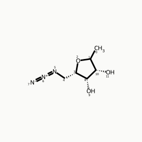 CC1O[C@@H](CN=[N+]=[N-])[C@@H](O)[C@H]1O